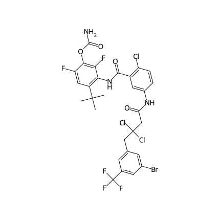 CC(C)(C)c1cc(F)c(OC(N)=O)c(F)c1NC(=O)c1cc(NC(=O)CC(Cl)(Cl)Cc2cc(Br)cc(C(F)(F)F)c2)ccc1Cl